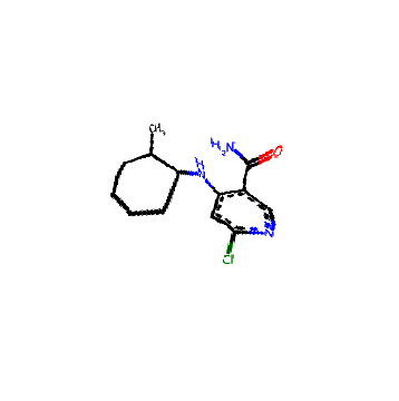 CC1CCCCC1Nc1cc(Cl)ncc1C(N)=O